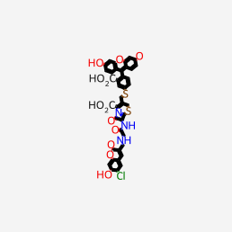 O=C(CNCc1cc2c(oc1=O)=CC(O)C(Cl)C=2)NC1C(=O)N2C(C(=O)O)=C(CSc3ccc(-c4c5ccc(=O)cc-5oc5cc(O)ccc45)c(C(=O)O)c3)CSC12